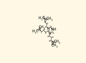 CN(C)CCCC1N(CCCN(C)C)CNCN1CCCN(C)C